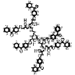 O=C(c1ccccc1)c1ccc(OCC(O)CN(CCCN(CC(O)COc2ccc(C(=O)c3ccccc3)cc2)CC(O)COc2ccc(C(=O)c3ccccc3)cc2)CCN(CCCN(CC(O)COc2ccc(C(=O)c3ccccc3)cc2)CC(O)COc2ccc(C(=O)c3ccccc3)cc2)CC(O)COc2ccc(C(=O)c3ccccc3)cc2)cc1